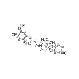 CC(C)Oc1cc(OCCCN2CCC(O)(Cc3ccc(Cl)cc3)C(C)(C)C2)c(N)cc1Cl